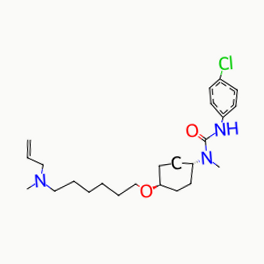 C=CCN(C)CCCCCCO[C@H]1CC[C@H](N(C)C(=O)Nc2ccc(Cl)cc2)CC1